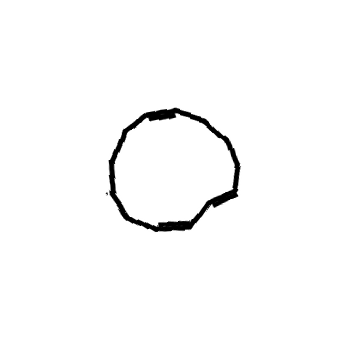 [CH]1C/C=C\C=C\CCC/C=C\CC1